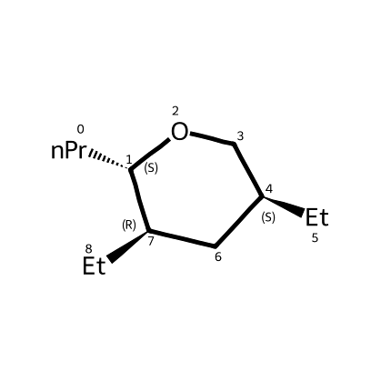 CCC[C@@H]1OC[C@@H](CC)C[C@H]1CC